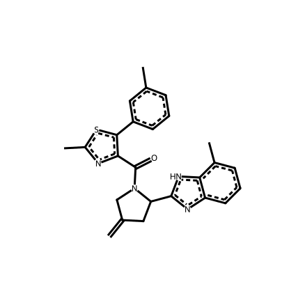 C=C1CC(c2nc3cccc(C)c3[nH]2)N(C(=O)c2nc(C)sc2-c2cccc(C)c2)C1